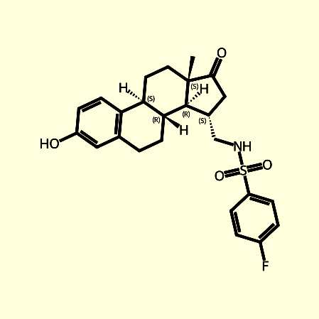 C[C@]12CC[C@@H]3c4ccc(O)cc4CC[C@H]3[C@@H]1[C@@H](CNS(=O)(=O)c1ccc(F)cc1)CC2=O